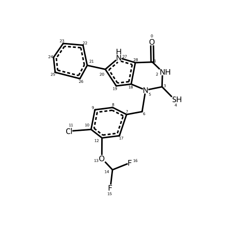 O=C1NC(S)N(Cc2ccc(Cl)c(OC(F)F)c2)c2cc(-c3ccccc3)[nH]c21